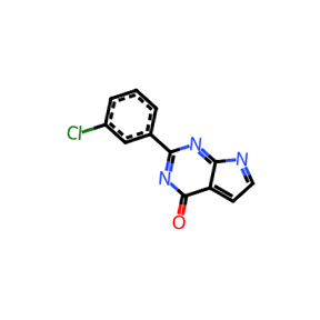 O=C1N=C(c2cccc(Cl)c2)N=C2N=CC=C12